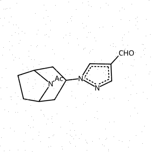 CC(=O)N1C2CCC1CC(n1cc(C=O)cn1)C2